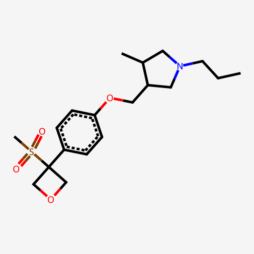 CCCN1CC(C)C(COc2ccc(C3(S(C)(=O)=O)COC3)cc2)C1